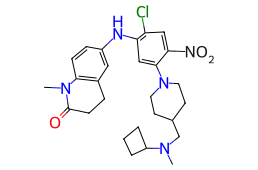 CN1C(=O)CCc2cc(Nc3cc(N4CCC(CN(C)C5CCC5)CC4)c([N+](=O)[O-])cc3Cl)ccc21